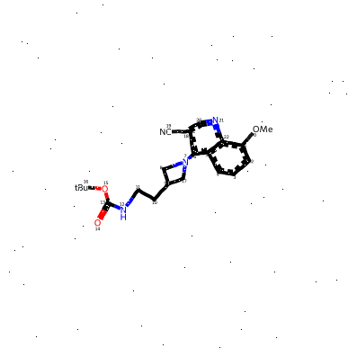 COc1cccc2c(N3CC(CCNC(=O)OC(C)(C)C)C3)c(C#N)cnc12